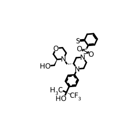 C[C@](O)(c1ccc(N2CCN(S(=O)(=O)C3=CC=CCC3=S)C[C@H]2CN2CCOC[C@@H]2CO)cc1)C(F)(F)F